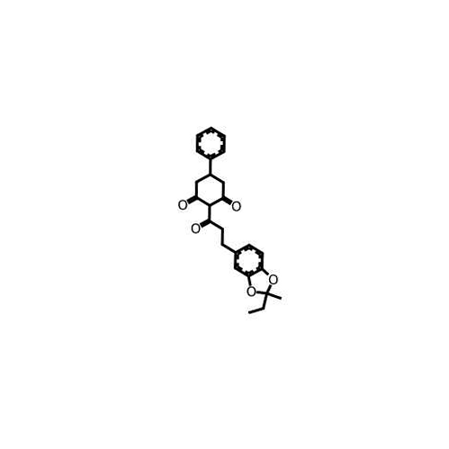 CCC1(C)Oc2ccc(CCC(=O)C3C(=O)CC(c4ccccc4)CC3=O)cc2O1